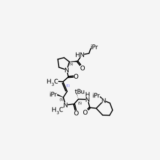 C/C(=C\[C@H](C(C)C)N(C)C(=O)[C@@H](NC(=O)C1CCCCN1C(C)C)C(C)(C)C)C(=O)N1CCC[C@H]1C(=O)NCC(C)C